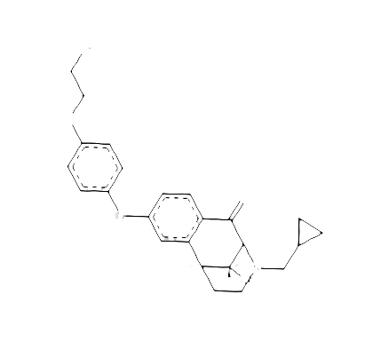 C[C@H]1C2C(=O)c3ccc(Nc4ccc(OCCO)cc4)cc3[C@]1(C)CCN2CC1CC1